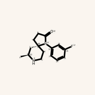 C[C@H]1C[C@]2(CCN1)CCC(=O)N2c1cccc(F)c1